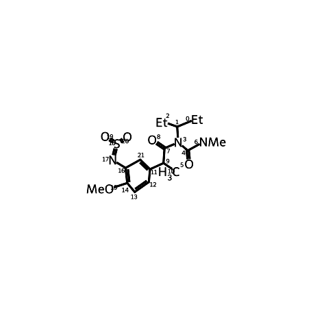 CCC(CC)N(C(=O)NC)C(=O)C(C)c1ccc(OC)c(N=S(=O)=O)c1